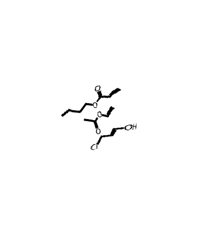 C=CC(=O)OCCCC.C=COC(C)=O.OC=CCCl